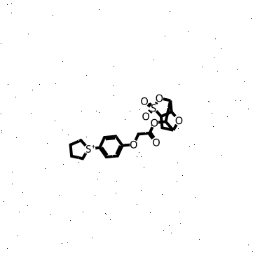 O=C(COc1ccc([S+]2CCCC2)cc1)OC1C2CC3C(O2)C1OS3(=O)=O